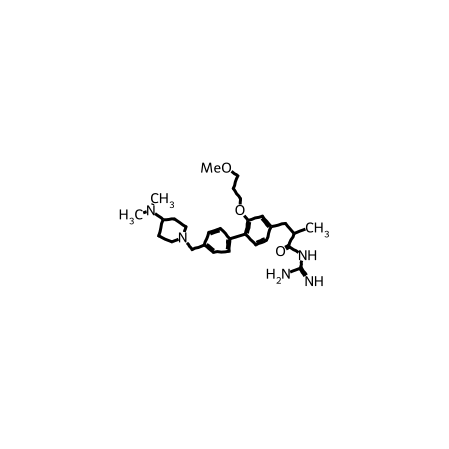 COCCCOc1cc(CC(C)C(=O)NC(=N)N)ccc1-c1ccc(CN2CCC(N(C)C)CC2)cc1